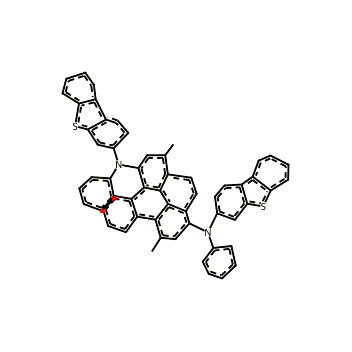 Cc1cc(N(c2ccccc2)c2ccc3c(c2)sc2ccccc23)c2c3ccccc3c3c(C)cc(N(c4ccccc4)c4ccc5c(c4)sc4ccccc45)c4ccc1c2c43